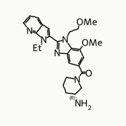 CCn1c(-c2nc3cc(C(=O)N4CCC[C@@H](N)C4)cc(OC)c3n2CCOC)cc2cccnc21